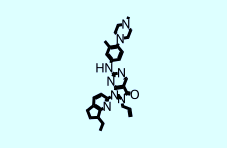 C=CCn1c(=O)c2cnc(Nc3ccc(N4CCN(C)CC4)c(C)c3)nc2n1-c1ccc2c(n1)C(CC)CC2